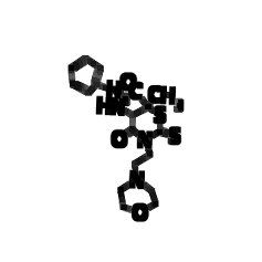 CC1(C)SC(=S)N(CCN2CCOCC2)C(=O)C1NC(=O)c1ccccc1